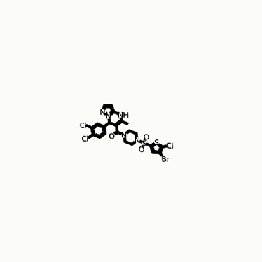 CC1=C(C(=O)N2CCN(S(=O)(=O)c3cc(Br)c(Cl)s3)CC2)C(c2ccc(Cl)c(Cl)c2)n2nccc2N1